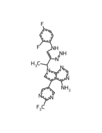 CC(/C(=C/Nc1ccc(F)cc1F)N=N)n1cc(-c2cnc(C(F)(F)F)nc2)c2c(N)ncnc21